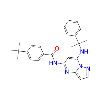 CC(C)(C)c1ccc(C(=O)Nc2cc(NC(C)(C)c3ccccc3)n3nccc3n2)cc1